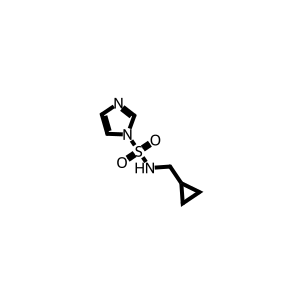 O=S(=O)(NCC1CC1)n1ccnc1